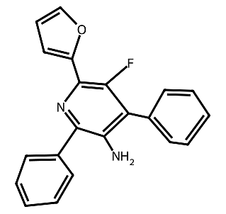 Nc1c(-c2ccccc2)nc(-c2ccco2)c(F)c1-c1ccccc1